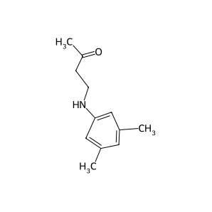 CC(=O)CCNc1cc(C)cc(C)c1